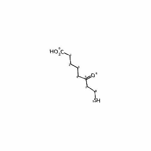 O=C(O)CCCCC(=O)CCS